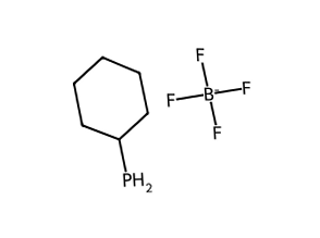 F[B-](F)(F)F.PC1CCCCC1